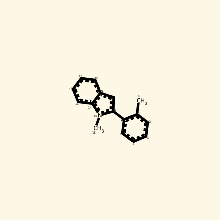 Cc1ccccc1-c1cc2ccccc2n1C